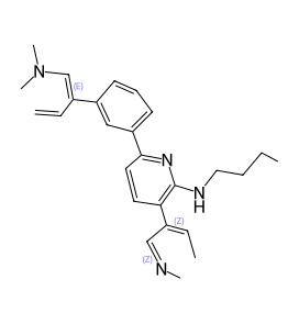 C=C/C(=C\N(C)C)c1cccc(-c2ccc(C(/C=N\C)=C/C)c(NCCCC)n2)c1